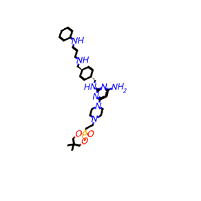 CC1(C)COP(=O)(CCN2CCN(c3cc(N)nc(NC[C@H]4CC[C@H](CNCCCNC5CCCCC5)CC4)n3)CC2)OC1